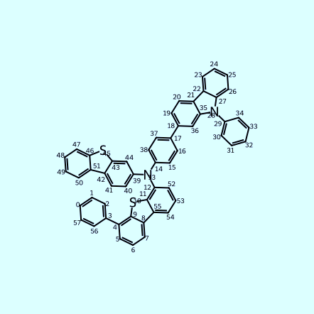 c1ccc(-c2cccc3c2sc2c(N(c4ccc(-c5ccc6c7ccccc7n(-c7ccccc7)c6c5)cc4)c4ccc5c(c4)sc4ccccc45)cccc23)cc1